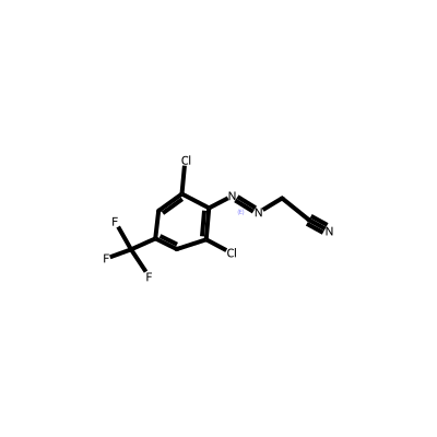 N#CC/N=N/c1c(Cl)cc(C(F)(F)F)cc1Cl